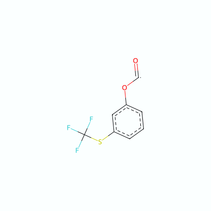 O=[C]Oc1cccc(SC(F)(F)F)c1